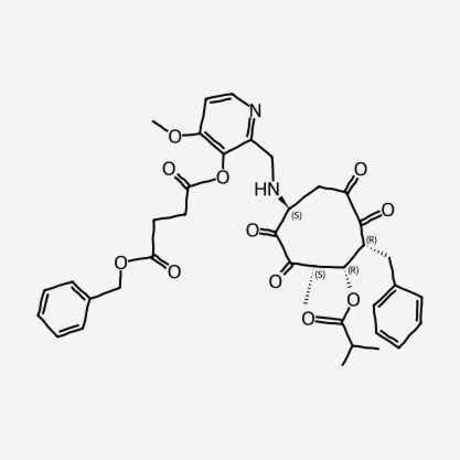 COc1ccnc(CN[C@H]2CC(=O)C(=O)[C@H](Cc3ccccc3)[C@H](OC(=O)C(C)C)[C@H](C)C(=O)C2=O)c1OC(=O)CCC(=O)OCc1ccccc1